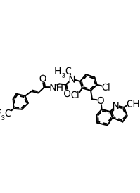 Cc1ccc2cccc(OCc3c(Cl)ccc(N(C)C(=O)CNC(=O)/C=C/c4ccc(C(F)(F)F)cc4)c3Cl)c2n1